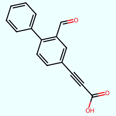 O=Cc1cc(C#CC(=O)O)ccc1-c1ccccc1